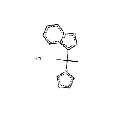 CC(C)(c1noc2ccccc12)n1ccnc1.Cl